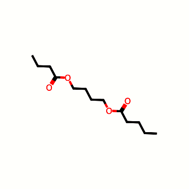 CCCCC(=O)OCCCCOC(=O)CCC